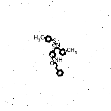 Cc1ccc(Sc2nc(-c3cccc(C)c3)c(-c3ccnc(NC(=O)CCc4ccccc4)c3)s2)cc1